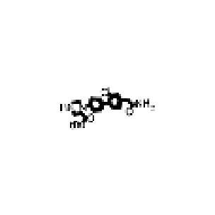 CC(C)(C)C(=O)C1CNCCN1c1ccc(-c2ccc(CC(N)=O)cc2Cl)cc1